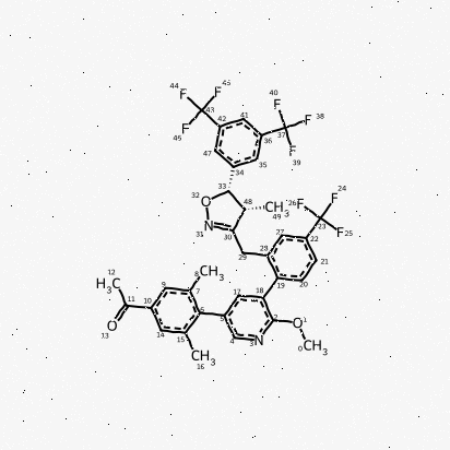 COc1ncc(-c2c(C)cc(C(C)=O)cc2C)cc1-c1ccc(C(F)(F)F)cc1CC1=NO[C@H](c2cc(C(F)(F)F)cc(C(F)(F)F)c2)[C@@H]1C